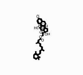 CC(C=CC1=C(C)CCCC1(C)C)=CC=CC(C)=CC(=O)OCC(=O)[C@@]1(O)CC[C@H]2[C@@H]3CCC4=CC(=O)C=C[C@]4(C)[C@H]3C(O)C[C@@]21C